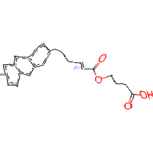 O=C(O)CCCOC(=O)/C=C/CCc1ccc2cc3ccccc3cc2c1